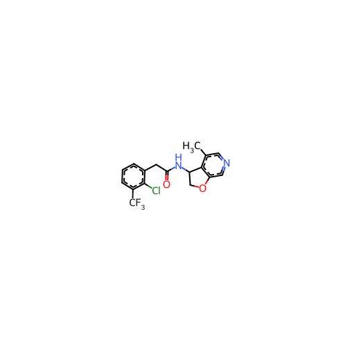 Cc1cncc2c1C(NC(=O)Cc1cccc(C(F)(F)F)c1Cl)CO2